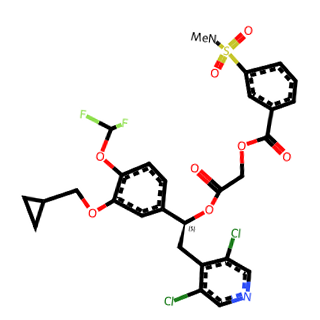 CNS(=O)(=O)c1cccc(C(=O)OCC(=O)O[C@@H](Cc2c(Cl)cncc2Cl)c2ccc(OC(F)F)c(OCC3CC3)c2)c1